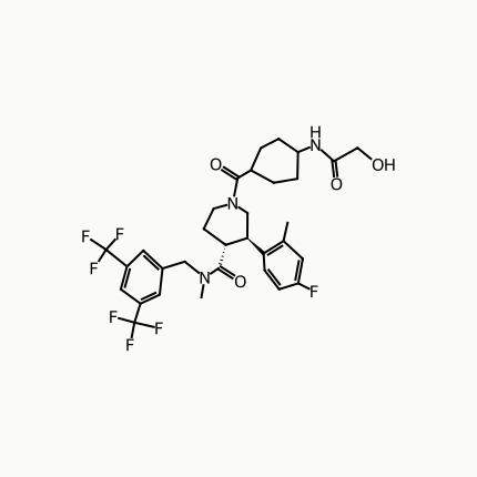 Cc1cc(F)ccc1[C@@H]1CN(C(=O)C2CCC(NC(=O)CO)CC2)CC[C@H]1C(=O)N(C)Cc1cc(C(F)(F)F)cc(C(F)(F)F)c1